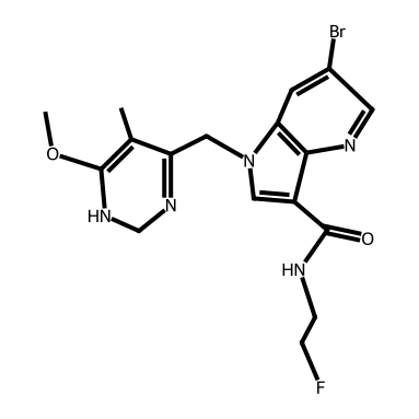 COC1=C(C)C(Cn2cc(C(=O)NCCF)c3ncc(Br)cc32)=NCN1